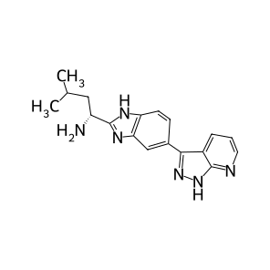 CC(C)C[C@@H](N)c1nc2cc(-c3n[nH]c4ncccc34)ccc2[nH]1